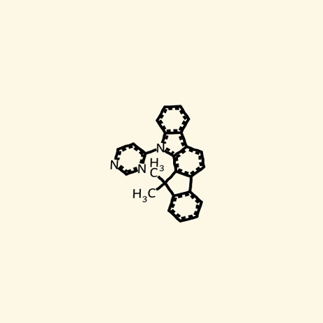 CC1(C)c2ccccc2-c2ccc3c4ccccc4n(-c4ccncn4)c3c21